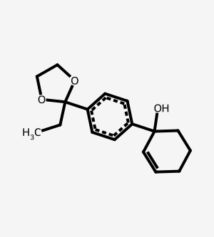 CCC1(c2ccc(C3(O)C=CCCC3)cc2)OCCO1